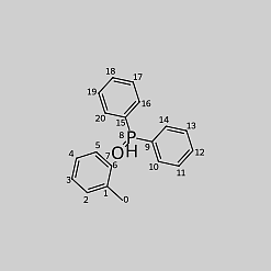 Cc1ccccc1.O=[PH](c1ccccc1)c1ccccc1